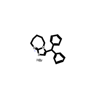 Br.C1=C(C(c2ccccc2)c2ccccc2)N2CCCCC/N=C\2S1